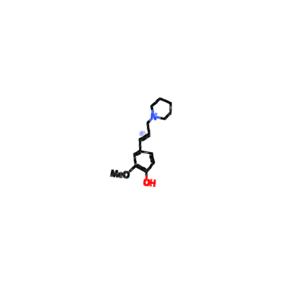 COc1cc(/C=C/CN2CCCCC2)ccc1O